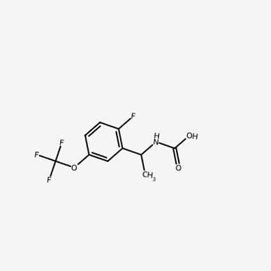 CC(NC(=O)O)c1cc(OC(F)(F)F)ccc1F